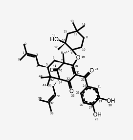 CC(C)=CC[C@H]1C[C@@]23C[C@]4(CCC(C)(C)C[C@@]4(C)O)OC2=C(C(=O)c2ccc(O)c(O)c2)C(=O)[C@](CC=C(C)C)(C3=O)C1(C)C